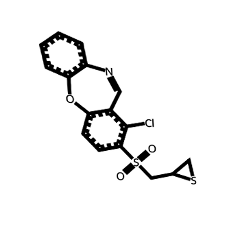 O=S(=O)(CC1CS1)c1ccc2c(c1Cl)C=Nc1ccccc1O2